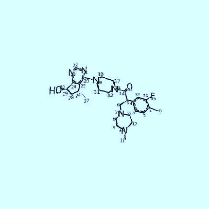 Cc1ccc([C@@H](CN2CCN(C)CC2)C(=O)N2CCN(c3ncnc4c3[C@H](C)C[C@H]4O)CC2)cc1F